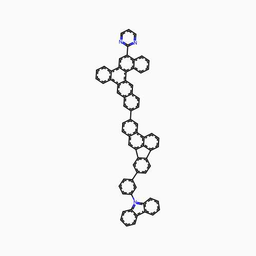 c1cnc(-c2cc3c4ccccc4c4cc5cc(-c6ccc7cc8c9c(cccc9c7c6)-c6ccc(-c7cccc(-n9c%10ccccc%10c%10ccccc%109)c7)cc6-8)ccc5cc4c3c3ccccc23)nc1